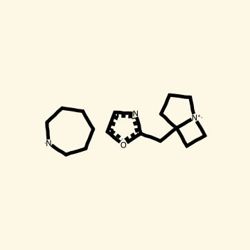 C1CCC[N]CC1.c1coc(CC23CCC[N+]2CC3)n1